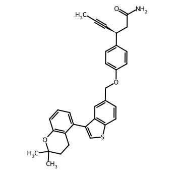 CC#C[C@@H](CC(N)=O)c1ccc(OCc2ccc3scc(-c4cccc5c4CCC(C)(C)O5)c3c2)cc1